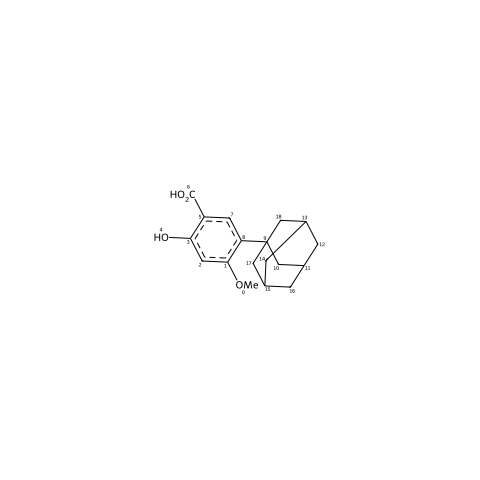 COc1cc(O)c(C(=O)O)cc1C12CC3CC(CC(C3)C1)C2